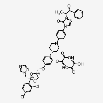 CC(C(=O)c1ccccc1)n1ncn(-c2ccc(N3CCN(c4ccc(OC[C@@H]5CO[C@@](Cn6cncn6)(c6ccc(Cl)cc6Cl)O5)cc4)CC3)cc2)c1=O.O=C(O)C(=O)O.O=C(O)C(=O)O